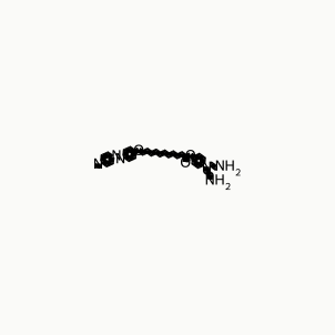 CN(C)c1ccc(N=Nc2ccc(OCCCCCCCCCCC(=O)Oc3ccc(N(CCN)CCN)cc3)cc2)cc1